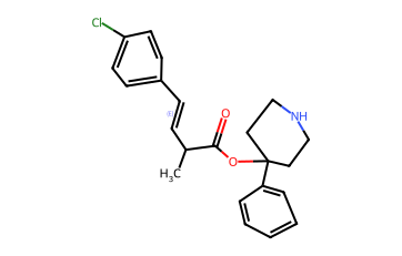 CC(/C=C/c1ccc(Cl)cc1)C(=O)OC1(c2ccccc2)CCNCC1